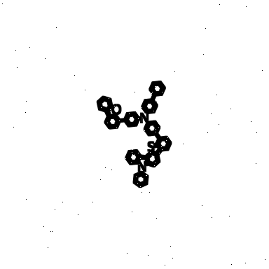 c1ccc(-c2ccc(N(c3ccc(-c4cccc5c4oc4ccccc45)cc3)c3ccc(-c4cccc5c4sc4c5ccc5c4c4ccccc4n5-c4ccccc4)cc3)cc2)cc1